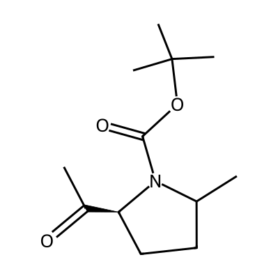 CC(=O)[C@@H]1CCC(C)N1C(=O)OC(C)(C)C